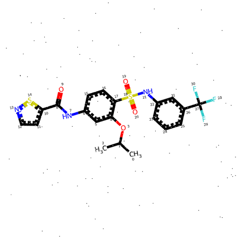 CC(C)Oc1cc(NC(=O)c2ccns2)ccc1S(=O)(=O)Nc1cccc(C(F)(F)F)c1